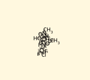 CCN1CN2CC(OC)c3c(C(=O)NCc4ccc(F)c(Cl)c4F)c(=O)c(O)c(n32)C1=O